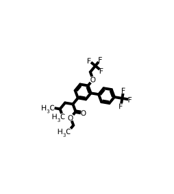 CCOC(=O)C(CC(C)C)c1ccc(OCC(F)(F)F)c(-c2ccc(C(F)(F)F)cc2)c1